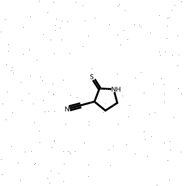 N#CC1CCNC1=S